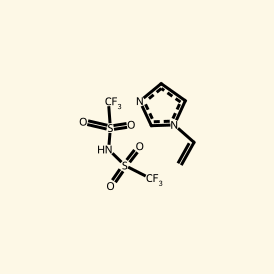 C=Cn1ccnc1.O=S(=O)(NS(=O)(=O)C(F)(F)F)C(F)(F)F